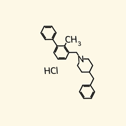 Cc1c(CN2CCC(Cc3ccccc3)CC2)cccc1-c1ccccc1.Cl